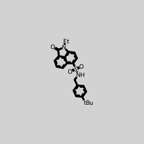 CCN1C(=O)c2cccc3c(S(=O)(=O)NCc4ccc(C(C)(C)C)cc4)ccc1c23